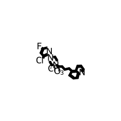 C[C@@H]1CN(c2ncc(F)cc2Cl)CCN1C(=O)CCCc1cccc2ncccc12